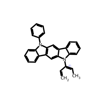 C=C/C(=C\C)n1c2ccccc2c2cc3c(cc21)c1ccccc1n3-c1ccccc1